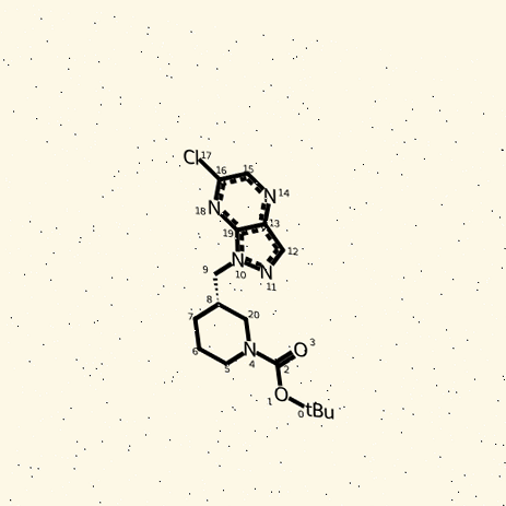 CC(C)(C)OC(=O)N1CCC[C@H](Cn2ncc3ncc(Cl)nc32)C1